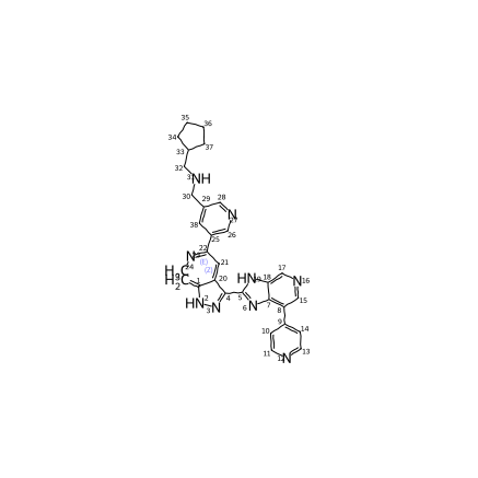 C=c1[nH]nc(-c2nc3c(-c4ccncc4)cncc3[nH]2)/c1=C/C(=N\C)c1cncc(CNCC2CCCC2)c1